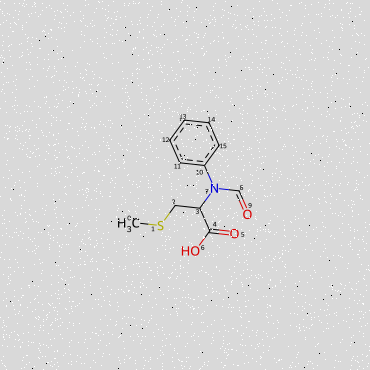 CSCC(C(=O)O)N(C=O)c1cc[c]cc1